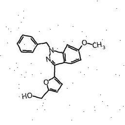 COc1ccc2c(-c3ccc(CO)o3)nn(Cc3ccccc3)c2c1